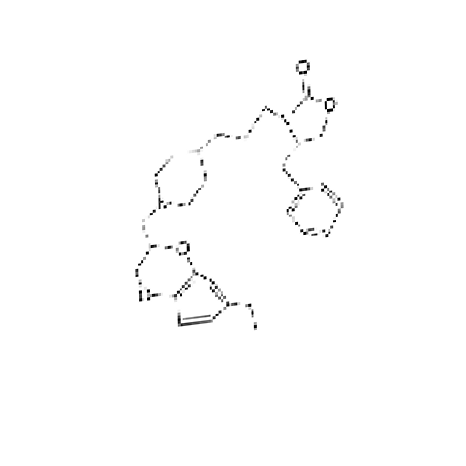 CCc1ccc2c(c1)O[C@@H](CN1CCC(CCCN3C(=O)OC[C@@H]3Cc3ccccc3)CC1)CO2